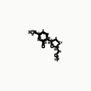 Nc1ccn([C@H]2CS[C@@H](COF)O2)c(=O)n1